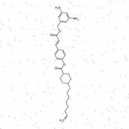 C=CCCCCCCC1CCC(C(=O)Oc2ccc(/C=C/C(=O)OCc3cc(N)cc(N)c3)cc2)CC1